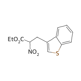 CCOC(=O)C(Cc1csc2ccccc12)[N+](=O)[O-]